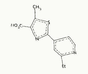 CCc1cc(-c2nc(C(=O)O)c(C)s2)ccn1